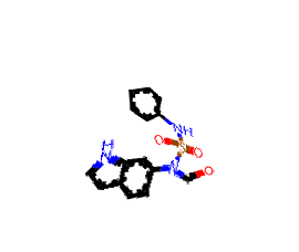 O=[C]N(c1ccc2cc[nH]c2c1)S(=O)(=O)Nc1ccccc1